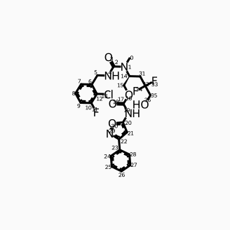 CN(C(=O)NCc1cccc(F)c1Cl)[C@H](COC(=O)Nc1cc(-c2ccccc2)no1)CC(F)(F)CO